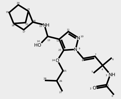 CC(=O)NC(C)(C)/C=C/n1ncc(C(O)NC2CC3CCC2C3)c1OCC(C)C